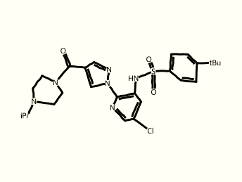 CC(C)N1CCN(C(=O)c2cnn(-c3ncc(Cl)cc3NS(=O)(=O)c3ccc(C(C)(C)C)cc3)c2)CC1